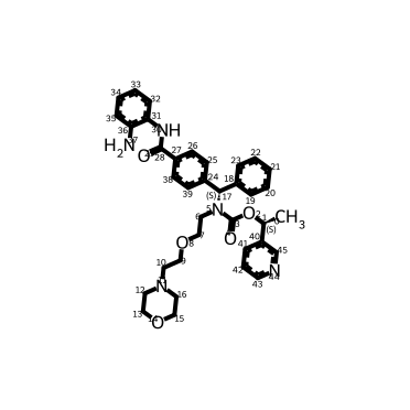 C[C@H](OC(=O)N(CCOCCN1CCOCC1)[C@@H](c1ccccc1)c1ccc(C(=O)Nc2ccccc2N)cc1)c1cccnc1